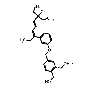 CC/C(=C/C=C/C(O)(CC)CC)c1cccc(OCc2ccc(CO)c(CO)c2)c1